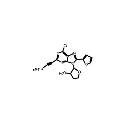 CCCCCC#Cc1nc(Cl)c2nc(-c3cccs3)n(C3OCCC3OC(C)=O)c2n1